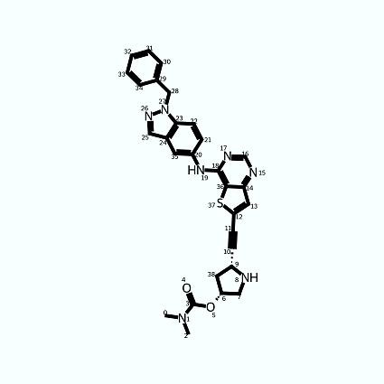 CN(C)C(=O)O[C@H]1CN[C@@H](C#Cc2cc3ncnc(Nc4ccc5c(cnn5Cc5ccccc5)c4)c3s2)C1